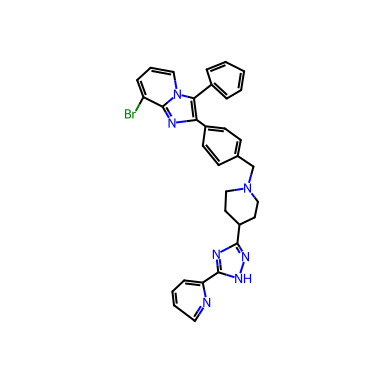 Brc1cccn2c(-c3ccccc3)c(-c3ccc(CN4CCC(c5n[nH]c(-c6ccccn6)n5)CC4)cc3)nc12